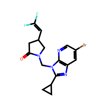 O=C1CC(C=C(F)F)CN1Cn1c(C2CC2)nc2cc(Br)cnc21